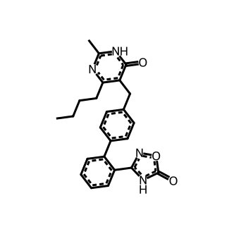 CCCCc1nc(C)[nH]c(=O)c1Cc1ccc(-c2ccccc2-c2noc(=O)[nH]2)cc1